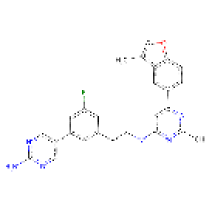 Cc1nc(NCCc2cc(F)cc(-c3cnc(N)nc3)c2)cc(-c2ccc3occ(C)c3c2)n1